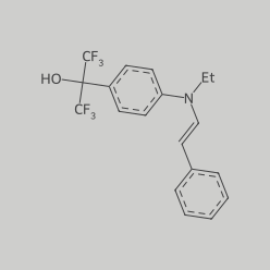 CCN(C=Cc1ccccc1)c1ccc(C(O)(C(F)(F)F)C(F)(F)F)cc1